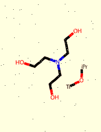 CC(C)[O][Ti].OCCN(CCO)CCO